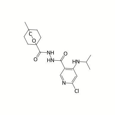 CC(C)Nc1cc(Cl)ncc1C(=O)NNC(=O)C12CCC(C)(CC1)CO2